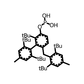 Cc1cc(C(C)(C)C)c(Cc2ccc(OP(O)O)c(C(C)(C)C)c2-c2c(C(C)(C)C)cc(C)cc2C(C)(C)C)c(C(C)(C)C)c1